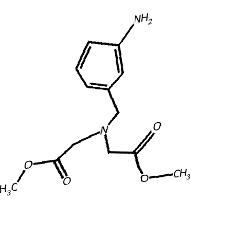 COC(=O)CN(CC(=O)OC)Cc1cccc(N)c1